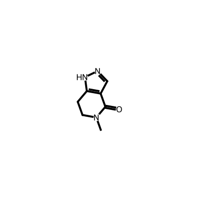 CN1CCc2[nH]ncc2C1=O